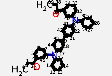 C=CC(=O)c1cccc(N(c2ccccc2)c2ccc(-c3ccc(N(c4ccccc4)c4cccc(C(=O)C=C)c4)cc3)cc2)c1